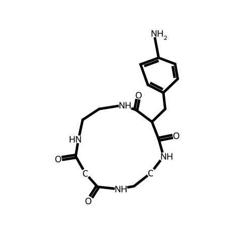 Nc1ccc(CC2C(=O)NCCNC(=O)CC(=O)NCCNC2=O)cc1